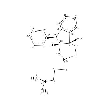 CN(C)CCCN1CC[C@H]2c3ccccc3[C@H](c3ccccc3)[C@H]2C1